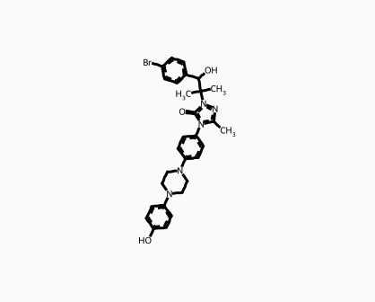 Cc1nn(C(C)(C)C(O)c2ccc(Br)cc2)c(=O)n1-c1ccc(N2CCN(c3ccc(O)cc3)CC2)cc1